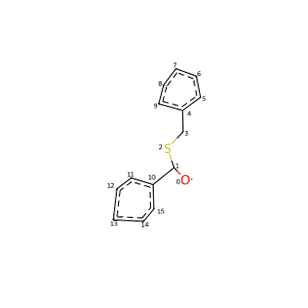 [O]C(SCc1ccccc1)c1ccccc1